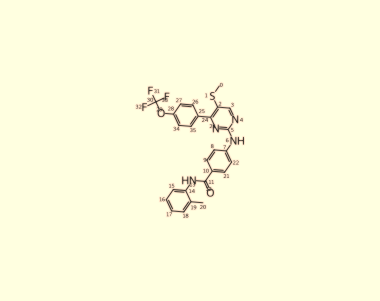 CSc1cnc(Nc2ccc(C(=O)Nc3ccccc3C)cc2)nc1-c1ccc(OC(F)(F)F)cc1